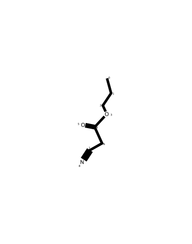 CC[CH]OC(=O)CC#N